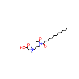 CCCCCCCCCCCC(=O)N(CCC[N+](C)(C)CC(=O)O)C(C)=O